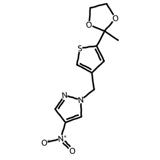 CC1(c2cc(Cn3cc([N+](=O)[O-])cn3)cs2)OCCO1